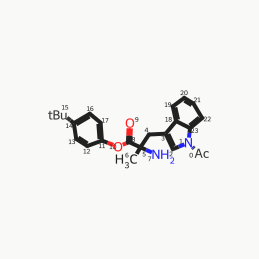 CC(=O)n1cc(CC(C)(N)C(=O)Oc2ccc(C(C)(C)C)cc2)c2ccccc21